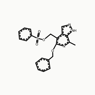 Cc1nc(OCc2ccccc2)c(COS(=O)(=O)c2ccccc2)c2cn[nH]c12